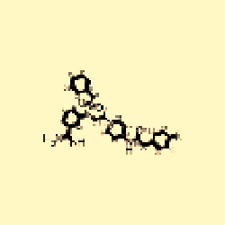 C[C@H](CN(c1cccc(C(=N)N)c1)S(=O)(=O)Cc1ccccc1)N1CCC(NC(=O)Cc2ccc(F)cc2)CC1